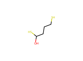 OC(S)CCCS